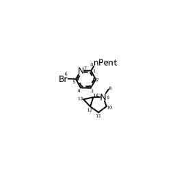 CCCCCc1cccc(Br)n1.CN1CCC2CC21